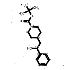 CC(C)(C)OC(=O)N1CCC(CC(O)c2ccccc2)CC1